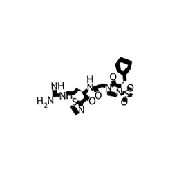 CS(=O)(=O)N1C=CN(CC(=O)N[C@@H](CCCNC(=N)N)C(=O)c2nccs2)C(=O)[C@@H]1Cc1ccccc1